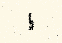 C=CC(=O)N(C)CCCc1ccc(CCCCCCC)cc1